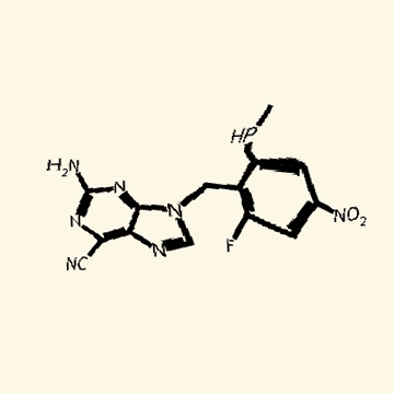 CPc1cc([N+](=O)[O-])cc(F)c1Cn1cnc2c(C#N)nc(N)nc21